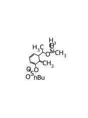 C=C1C(OS(=O)(=O)CCCC)=CC=CC1C(C)O[SiH](C)C